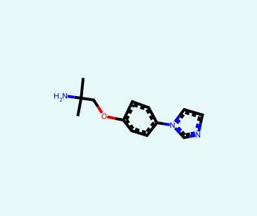 CC(C)(N)COc1ccc(-n2ccnc2)cc1